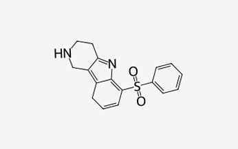 O=S(=O)(C1=C2N=C3CCNCC3=C2CC=C1)c1ccccc1